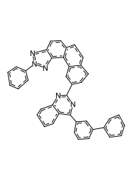 c1ccc(-c2cccc(-c3nc(-c4ccc5ccc6ccc7nn(-c8ccccc8)nc7c6c5c4)nc4ccccc34)c2)cc1